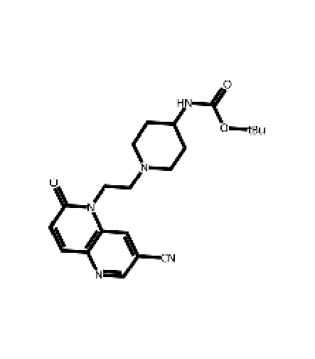 CC(C)(C)OC(=O)NC1CCN(CCn2c(=O)ccc3ncc(C#N)cc32)CC1